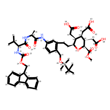 COC(=O)[C@H]1O[C@@H](CCc2cc(NC(=O)[C@H](C)NC(=O)[C@@H](NC(=O)OCC3c4ccccc4-c4ccccc43)C(C)C)ccc2CO[Si](C)(C)C(C)(C)C)[C@@H](CC(=O)O)[C@@H](CC(=O)O)[C@@H]1CC(=O)O